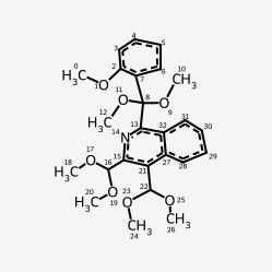 COc1ccccc1C(OC)(OC)c1nc(C(OC)OC)c(C(OC)OC)c2ccccc12